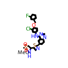 CONC(CS(C)(=O)=O)c1cnc(-c2ccc3ncnc(Nc4ccc(OCc5cccc(F)c5)c(Cl)c4)c3c2)s1